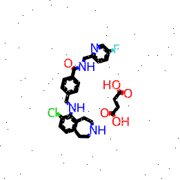 O=C(NCc1ccc(F)cn1)c1ccc(CNc2c(Cl)ccc3c2CCNCC3)cc1.O=C(O)CCC(=O)O